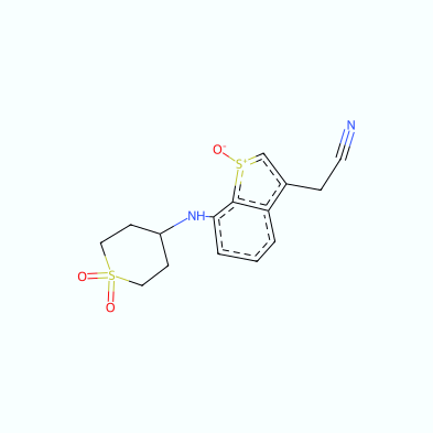 N#CCc1c[s+]([O-])c2c(NC3CCS(=O)(=O)CC3)cccc12